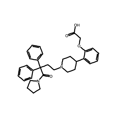 O=C(O)COc1ccccc1C1CCN(CCC(C(=O)N2CCCC2)(c2ccccc2)c2ccccc2)CC1